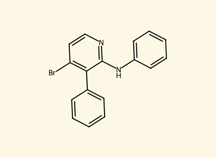 Brc1ccnc(Nc2ccccc2)c1-c1ccccc1